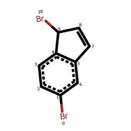 Brc1ccc2c(c1)C=CC2Br